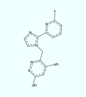 CCCc1cc(CCC)c(Cn2ccnc2-c2cccc(F)n2)nn1